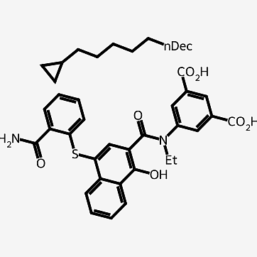 CCCCCCCCCCCCCCCC1CC1.CCN(C(=O)c1cc(Sc2ccccc2C(N)=O)c2ccccc2c1O)c1cc(C(=O)O)cc(C(=O)O)c1